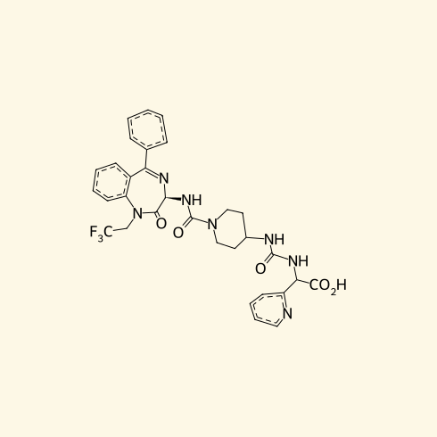 O=C(NC1CCN(C(=O)N[C@@H]2N=C(c3ccccc3)c3ccccc3N(CC(F)(F)F)C2=O)CC1)NC(C(=O)O)c1ccccn1